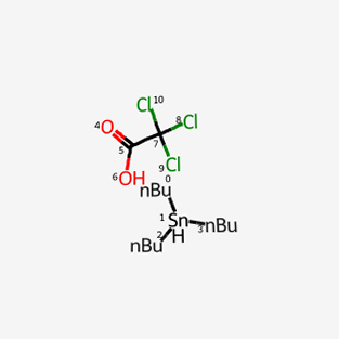 CCC[CH2][SnH]([CH2]CCC)[CH2]CCC.O=C(O)C(Cl)(Cl)Cl